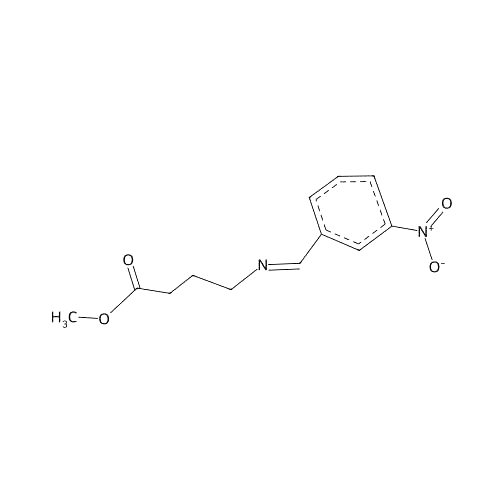 COC(=O)CCC/N=C/c1cccc([N+](=O)[O-])c1